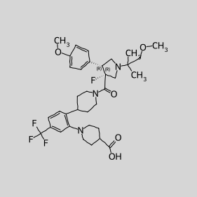 COCC(C)(C)N1C[C@@H](c2ccc(OC)cc2)[C@](F)(C(=O)N2CCC(c3ccc(C(F)(F)F)cc3N3CCC(C(=O)O)CC3)CC2)C1